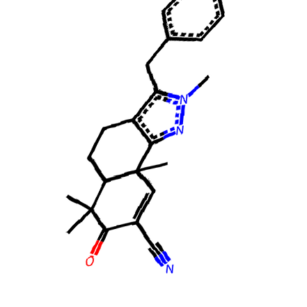 Cn1nc2c(c1Cc1ccccc1)CCC1C(C)(C)C(=O)C(C#N)=CC21C